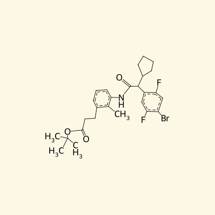 Cc1c(CCC(=O)OC(C)(C)C)cccc1NC(=O)C(c1cc(F)c(Br)cc1F)C1CCCC1